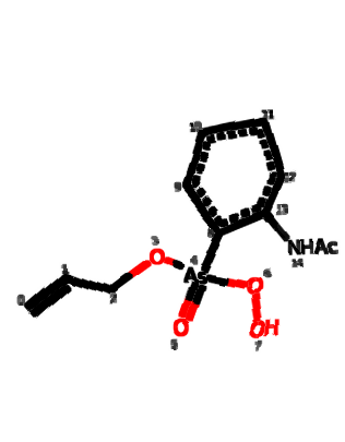 C=CCO[As](=O)(OO)c1ccccc1NC(C)=O